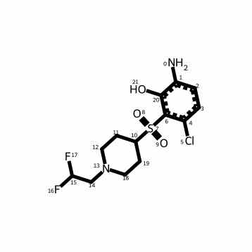 Nc1ccc(Cl)c(S(=O)(=O)C2CCN(CC(F)F)CC2)c1O